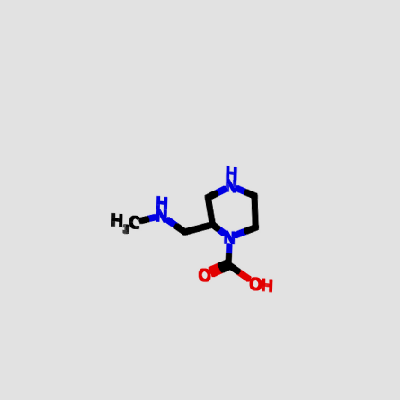 CNCC1CNCCN1C(=O)O